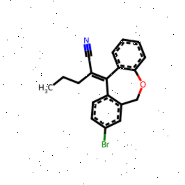 CCC/C(C#N)=C1\c2ccc(Br)cc2COc2ccccc21